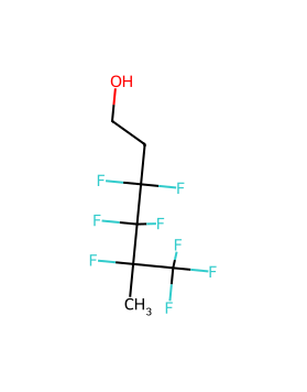 CC(F)(C(F)(F)F)C(F)(F)C(F)(F)CCO